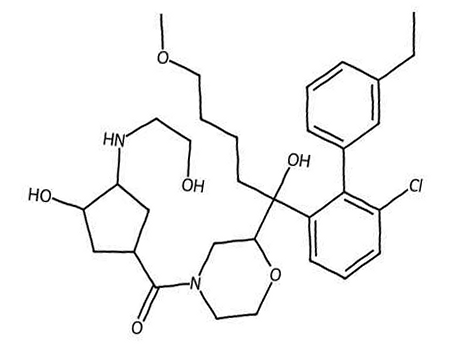 CCc1cccc(-c2c(Cl)cccc2C(O)(CCCCOC)C2CN(C(=O)C3CC(O)C(NCCO)C3)CCO2)c1